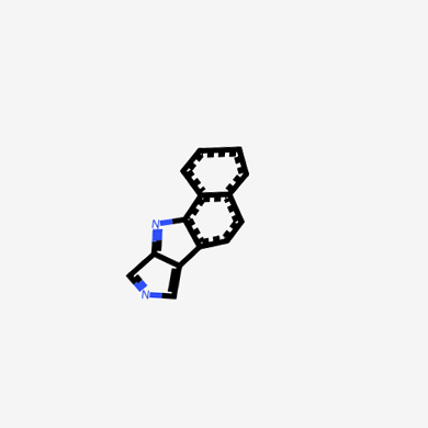 C1=NC=C2C1=Nc1c2ccc2ccccc12